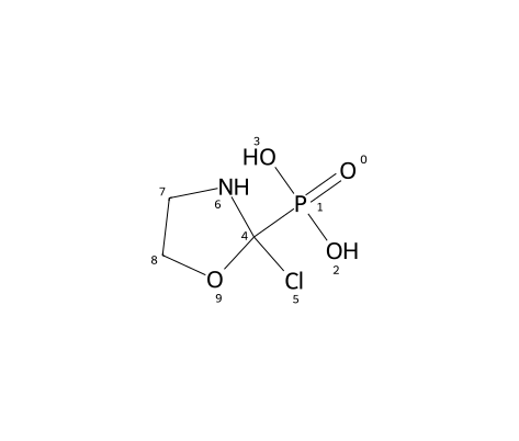 O=P(O)(O)C1(Cl)NCCO1